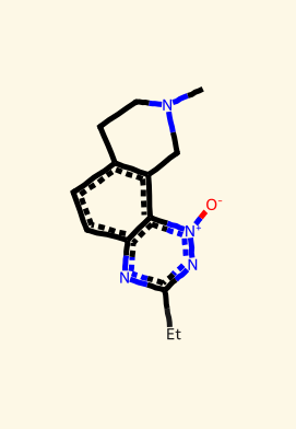 CCc1nc2ccc3c(c2[n+]([O-])n1)CN(C)CC3